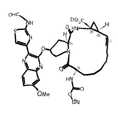 CCOC(=O)[C@@]12C[C@H]1/C=C\CCCCC[C@H](NC(=O)OC(C)(C)C)C(=O)N1CC(Oc3nc4cc(OC)ccc4nc3-c3csc(NC=O)n3)C[C@H]1C(=O)N2